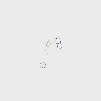 NCCOc1c(C(=O)NC(CN)Cc2ccccc2)sc(-c2ccnc3[nH]ccc23)c1Br